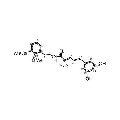 COc1cccc(CCNC(=O)/C(C#N)=C/C=C/c2cc(O)cc(O)c2)c1OC